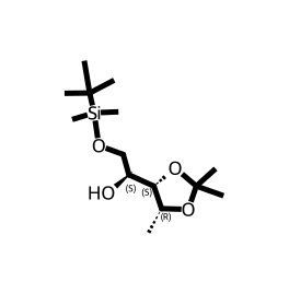 C[C@H]1OC(C)(C)O[C@H]1[C@@H](O)CO[Si](C)(C)C(C)(C)C